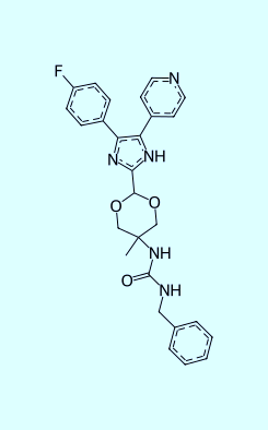 CC1(NC(=O)NCc2ccccc2)COC(c2nc(-c3ccc(F)cc3)c(-c3ccncc3)[nH]2)OC1